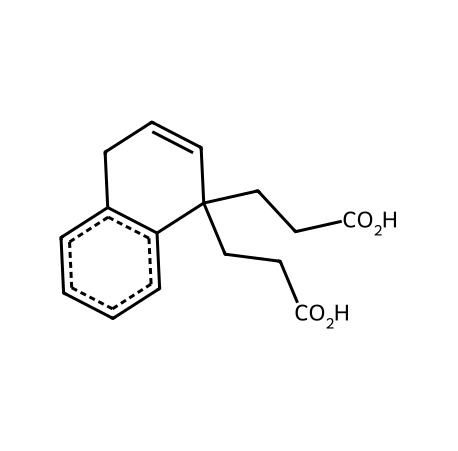 O=C(O)CCC1(CCC(=O)O)C=CCc2ccccc21